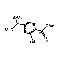 CCc1cc(C(OC)OC)ccc1C(=O)OC